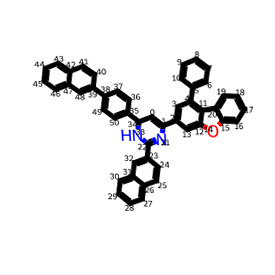 C1=C(c2cc(-c3ccccc3)c3c(c2)oc2ccccc23)N=C(c2ccc3ccccc3c2)NC1c1ccc(-c2ccc3ccccc3c2)cc1